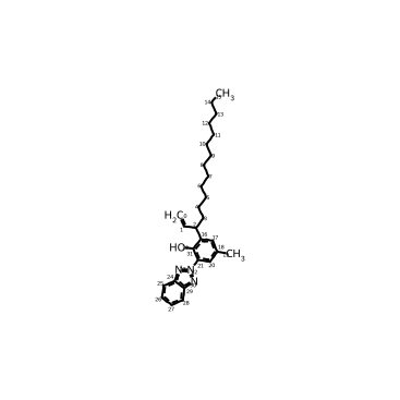 C=CC(CCCCCCCCCCCCC)c1cc(C)cc(-n2nc3ccccc3n2)c1O